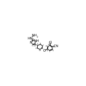 N#Cc1ccc(O[C@H]2CC[C@H](c3cnc(NN)[nH]3)CC2)cc1Cl